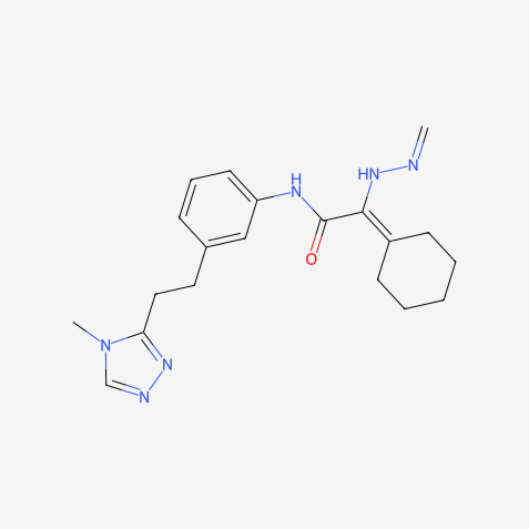 C=NNC(C(=O)Nc1cccc(CCc2nncn2C)c1)=C1CCCCC1